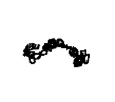 CC(C)(C)CC(C)(C)COC(=O)OCOc1ccc2ccc(OCCCCN3CCN(c4cccc(Cl)c4Cl)CC3)cc2n1